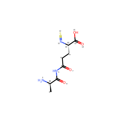 C[C@@H](N)C(=O)NC(=O)CC[C@H](N=S)C(=O)O